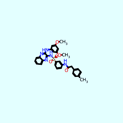 COc1cc(Nc2nc3ccccc3nc2NS(=O)(=O)c2cccc(NC(=O)Cc3ccc(C)cc3)c2)cc(OC)c1